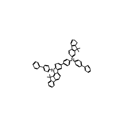 CC1(C)C2=C(C=CCC2)c2ccc(N(c3ccc(-c4ccccc4)cc3)c3ccc(-c4ccc5c(c4)c4ccc6c(c4n5-c4ccc(-c5ccccc5)cc4)C(C)(C)c4ccccc4-6)cc3)cc21